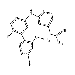 COc1cc(F)ccc1-c1cc(Nc2cc(CS(C)=N)ccn2)ncc1F